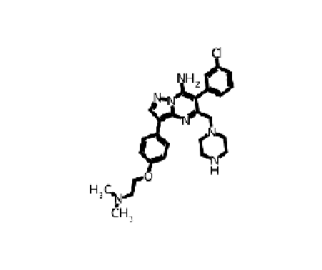 CN(C)CCOc1ccc(-c2cnn3c(N)c(-c4cccc(Cl)c4)c(CN4CCNCC4)nc23)cc1